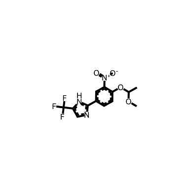 COC(C)Oc1ccc(-c2ncc(C(F)(F)F)[nH]2)cc1[N+](=O)[O-]